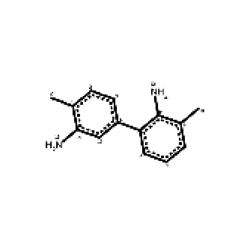 Cc1ccc(-c2cccc(C)c2N)cc1N